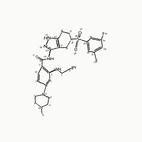 CC(C)CNc1cc(N2CCN(C)CC2)ccc1C(=O)Nc1n[nH]c2c1CN(S(=O)(=O)c1cc(F)cc(F)c1)CC2